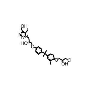 Cc1cc(C(C)(C)c2ccc(OC[C@@H](O)Cn3nnc(CO)c3I)cc2)ccc1OC[C@H](O)CCl